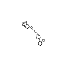 Clc1ccccc1N1CCN(CCCCOc2ccn3nnnc3c2)CC1